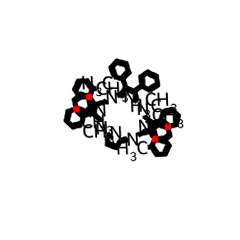 Cc1ccccc1C1=C(c2ccccc2C)c2nc1nc1c(-c3ccccc3C)c(-c3ccccc3C)c(nc3nc(nc4c(-c5ccccc5C)c(-c5ccccc5C)c(n2)n4-c2ccccc2C)C=C3)n1-c1ccccc1C